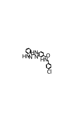 O=C(NCc1ccc(Cl)cc1)c1ccc2[nH]c(-c3n[nH]c4ccccc34)nc2c1